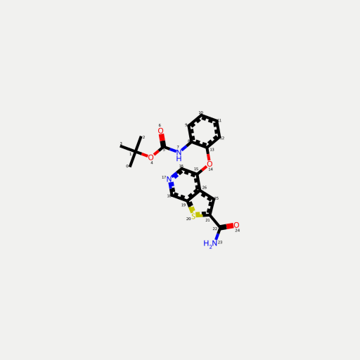 CC(C)(C)OC(=O)Nc1ccccc1Oc1cncc2sc(C(N)=O)cc12